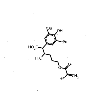 C=C(S)C(=O)OCCCC(C)C(C(=O)O)c1cc(C(C)(C)C)c(O)c(C(C)(C)C)c1